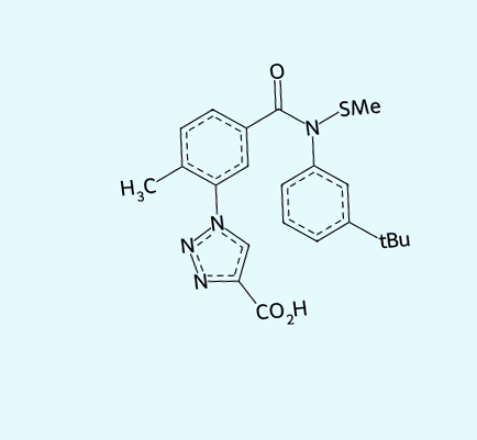 CSN(C(=O)c1ccc(C)c(-n2cc(C(=O)O)nn2)c1)c1cccc(C(C)(C)C)c1